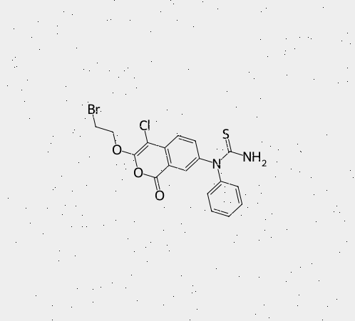 NC(=S)N(c1ccccc1)c1ccc2c(Cl)c(OCCBr)oc(=O)c2c1